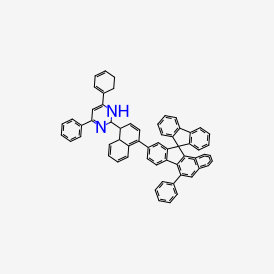 C1=CCCC(C2=CC(c3ccccc3)=NC(C3C=CC(c4ccc5c(c4)C4(c6ccccc6-c6ccccc64)c4c-5c(-c5ccccc5)cc5ccccc45)=C4C=CC=CC43)N2)=C1